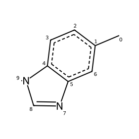 Cc1ccc2c(c1)N=C[N]2